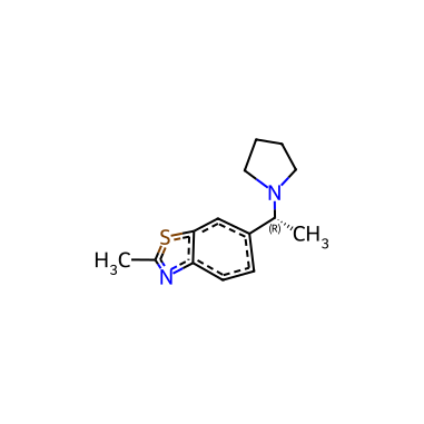 Cc1nc2ccc([C@@H](C)N3CCCC3)cc2s1